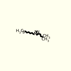 CSCCCCCCn1cc(CCC(C)C)nn1